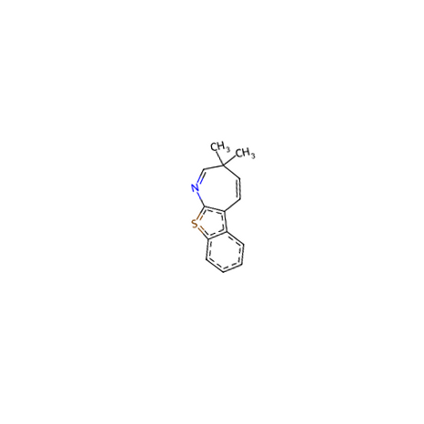 CC1(C)C=Cc2c(sc3ccccc23)N=C1